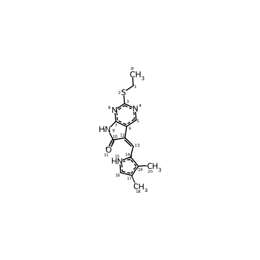 CCSc1ncc2c(n1)NC(=O)C2=Cc1[nH]cc(C)c1C